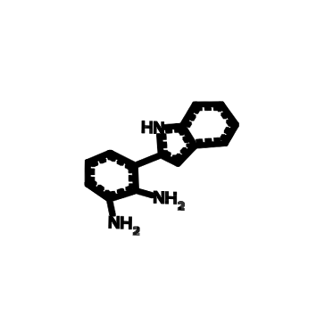 Nc1cccc(-c2cc3ccccc3[nH]2)c1N